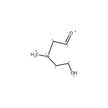 CN(C[C]=O)CCO